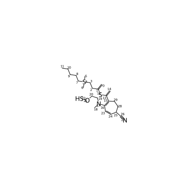 C=C(CCS(C)(C)CCCCC)SC(=C)C1=C(N(C)CCOS)C=CC(C#N)CC1